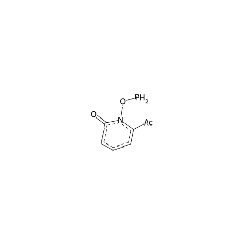 CC(=O)c1cccc(=O)n1OP